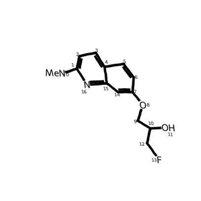 CNc1ccc2ccc(OCC(O)CF)cc2n1